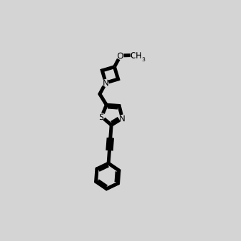 COC1CN(Cc2cnc(C#Cc3ccccc3)s2)C1